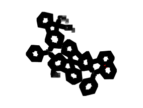 CC(C)(C)c1cc(N(c2ccccc2)c2ccc3c(c2)-c2ccccc2C3(C)C)cc2c1-c1ccccc1C21c2ccccc2-c2cc(-c3ccccc3)c(N(c3ccccc3)c3ccccc3)cc21